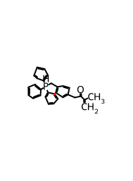 C=C(C)C(=O)Cc1ccc(C[PH](c2ccccc2)(c2ccccc2)c2ccccc2)cc1